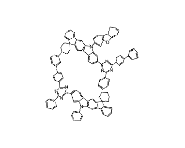 C1=CCC2C(=C1)Oc1cc(-n3c4cc(-c5nc(-c6ccccc6)nc(-c6ccc(-c7ccccc7)cc6)n5)ccc4c4cc5c(cc43)-c3ccccc3C53CCC(c4cccc(-c5ccc(-c6nc(-c7ccccc7)nc(-c7ccc8c9cc%10c(cc9n(-c9ccccc9)c8c7)-c7ccccc7C%107CCCCC7)n6)cc5)c4)CC3)ccc12